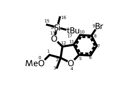 COCC1(C)Oc2ccc(Br)cc2C1O[Si](C)(C)C(C)(C)C